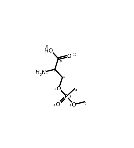 COP(C)(=O)OCC(N)C(=O)O